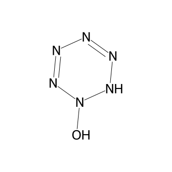 ON1N=NN=NN1